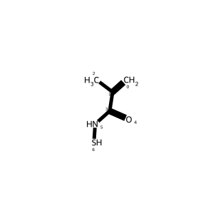 C=C(C)C(=O)NS